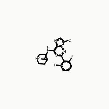 Fc1cccc(F)c1-c1nc(NC2CN3CCC2CC3)c2ncc(Cl)n2n1